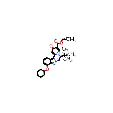 CCOC(=O)c1cn2c(cc1=O)-c1c3cccc(OC4CCCCC4)c3nn1CC2C(C)(C)C